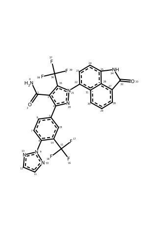 NC(=O)c1c(-c2ccc(-n3nccn3)c(C(F)(F)F)c2)nn(-c2ccc3c4c(cccc24)C(=O)N3)c1C(F)(F)F